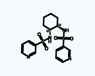 O=S(=O)(N[C@@H]1CCCC[C@H]1NS(=O)(=O)c1cccnc1)c1cccnc1